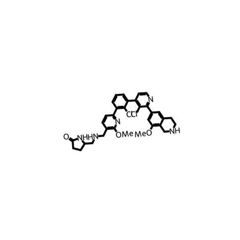 COc1cc(-c2nccc(-c3cccc(-c4ccc(CNCC5CCC(=O)N5)c(OC)n4)c3Cl)c2Cl)cc2c1CNCC2